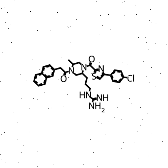 CC1CN(C(=O)c2nc(-c3ccc(Cl)cc3)cs2)C(CCCNC(=N)N)CN1C(=O)Cc1ccc2ccccc2c1